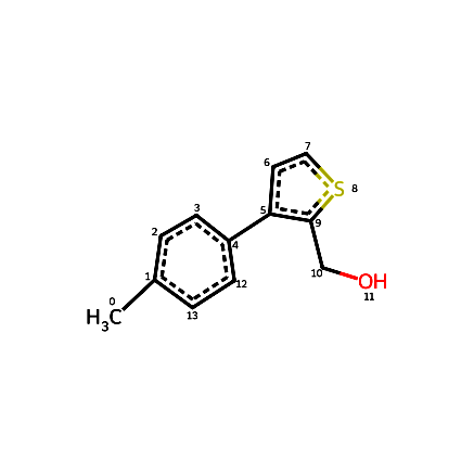 Cc1ccc(-c2ccsc2CO)cc1